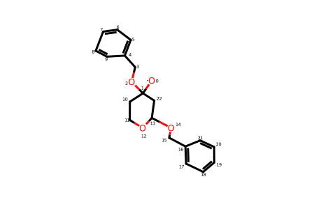 [O]C1(OCc2ccccc2)CCOC(OCc2ccccc2)C1